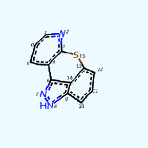 c1cnc2c(c1)-c1n[nH]c3cccc(c13)S2